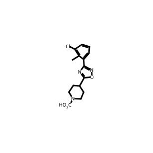 Cc1c(Cl)cccc1-c1noc(C2CCN(C(=O)O)CC2)n1